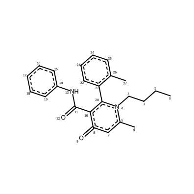 CCCCn1c(C)cc(=O)c(C(=O)Nc2ccccc2)c1-c1ccccc1C